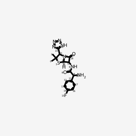 CC1(C)S[C@@H]2C(NC(=O)C(N)c3ccc(F)cc3)C(=O)N2C1c1nnn[nH]1